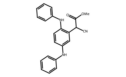 COC(=O)C(C#N)c1cc(Nc2ccccc2)ccc1Nc1ccccc1